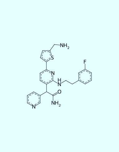 NCc1ccc(-c2ccc(C(C(N)=O)c3cccnc3)c(NCCc3cccc(F)c3)n2)s1